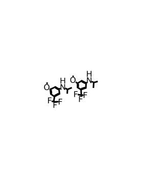 COc1cc(NC(C)C)cc(C(F)(F)F)c1.COc1cc(NC(C)C)cc(C(F)(F)F)c1